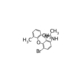 Cc1nc2c(Oc3c(C)cccc3C)c(Br)ccc2[nH]1